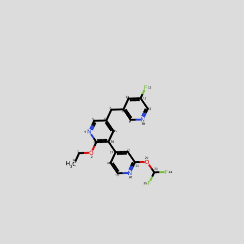 CCOc1ncc(Cc2cncc(F)c2)cc1-c1ccnc(OC(F)F)c1